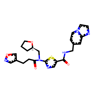 O=C(NCc1ccn2ccnc2c1)c1cnc(N(C[C@H]2CCCO2)C(=O)CCc2cnoc2)s1